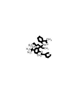 CCCCC(CC)(Pc1ccccc1C(C)=O)c1cc(C(C)(C)C)cc(C)c1OCc1ccccc1